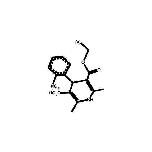 CC(=O)COC(=O)C1=C(C)NC(C)=C(C(=O)O)C1c1ccccc1[N+](=O)[O-]